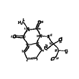 Cn1c(=O)c2ccccc2n(SC(Cl)(Cl)C(Cl)Cl)c1=O